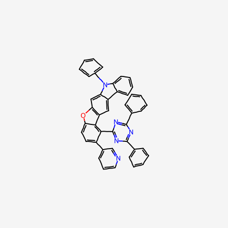 c1ccc(-c2nc(-c3ccccc3)nc(-c3c(-c4cccnc4)ccc4oc5cc6c(cc5c34)c3ccccc3n6-c3ccccc3)n2)cc1